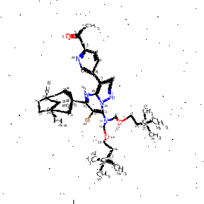 CC(=O)c1ccc(-c2cnn3c(N(COCC[Si](C)(C)C)COCC[Si](C)(C)C)c(Br)c([C@H]4C[C@@H]5CC[C@@H](C5)C4)nc23)cn1